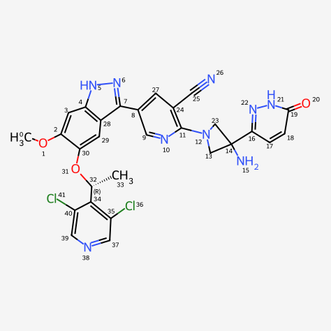 COc1cc2[nH]nc(-c3cnc(N4CC(N)(c5ccc(=O)[nH]n5)C4)c(C#N)c3)c2cc1O[C@H](C)c1c(Cl)cncc1Cl